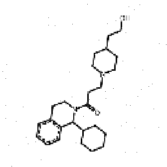 O=C(CCN1CCC(CCO)CC1)N1CCc2ccccc2C1C1CCCCC1